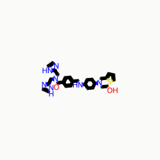 O=C(c1ccc(CNC2CCC(N(CCO)Cc3cccs3)CC2)cc1)N(Cc1ncc[nH]1)Cc1ncc[nH]1